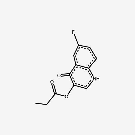 CCC(=O)Oc1c[nH]c2ccc(F)cc2c1=O